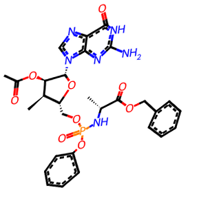 CC(=O)O[C@@H]1[C@H](C)[C@@H](COP(=O)(N[C@H](C)C(=O)OCc2ccccc2)Oc2ccccc2)O[C@H]1n1cnc2c(=O)[nH]c(N)nc21